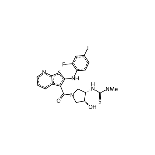 CNC(=S)N[C@H]1CN(C(=O)c2c(Nc3ccc(I)cc3F)sc3ncccc23)C[C@@H]1O